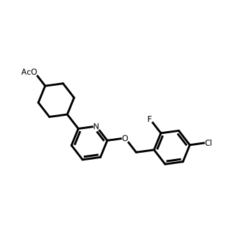 CC(=O)OC1CCC(c2cccc(OCc3ccc(Cl)cc3F)n2)CC1